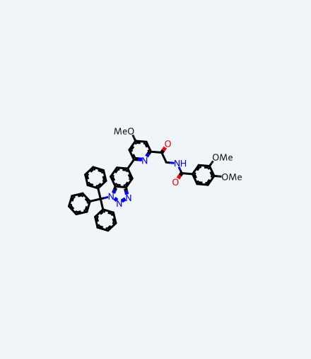 COc1cc(C(=O)CNC(=O)c2ccc(OC)c(OC)c2)nc(-c2ccc3c(c2)nnn3C(c2ccccc2)(c2ccccc2)c2ccccc2)c1